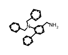 NCc1ccc(-c2ccccc2)c(N(Cc2ccccc2)Cc2ccccc2)c1